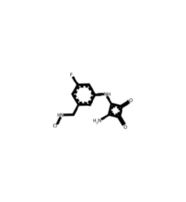 Nc1c(Nc2cc(F)cc(CNCl)c2)c(=O)c1=O